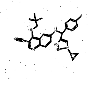 CC(C)(C)CNc1c(C#N)cnc2ccc(NC(C3=CN(C4CC4)NN3)c3ccc(F)cc3)cc12